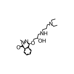 CCN(CC)CCCNCC(O)COc1nn(C)c(=O)c2ccccc12